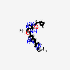 Cc1ncc(NC(=O)CC2CCCC2)cc1NC(=O)c1cnc2[nH]c(-c3cnn(C)c3)cc2c1